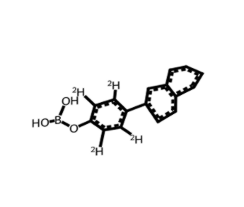 [2H]c1c([2H])c(-c2ccc3ccccc3c2)c([2H])c([2H])c1OB(O)O